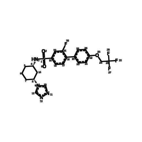 O=S(=O)(N[C@H]1CCC[C@@H](n2cnnc2)C1)c1ccc(-c2ccc(OCC(F)(F)F)cc2)c(F)c1